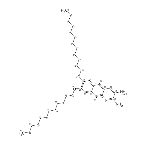 CCCCCCCCCCCCOc1cc2nc3cc(N)c(N)cc3nc2cc1OCCCCCCCCCCCC